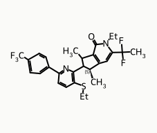 CCSc1ccc(-c2ccc(C(F)(F)F)cc2)nc1C1C(C)c2c(cc(C(C)(F)F)n(CC)c2=O)[C@H]1C